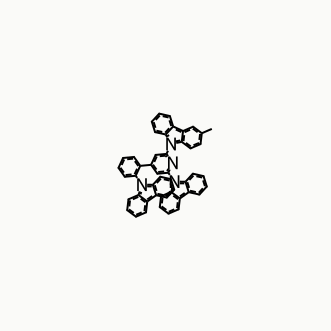 Cc1ccc2c(c1)c1ccccc1n2-c1cc(-c2ccccc2-n2c3ccccc3c3ccccc32)cc(-n2c3ccccc3c3ccccc32)n1